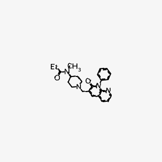 CCC(=O)N(C)C1CCN(Cc2cc3cccnc3n(-c3ccccc3)c2=O)CC1